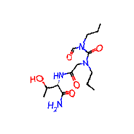 CCCN(C=O)C(=O)N(CCC)CC(=O)N[C@H](C(N)=O)C(C)O